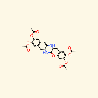 C=C1NC(Cc2ccc(OC(C)=O)c(OC(C)=O)c2)C(=O)NC1Cc1ccc(OC(C)=O)c(OC(C)=O)c1